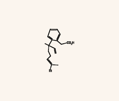 C=CC(C)(CCC=C(C)CC)c1ccccc1CC(=O)O